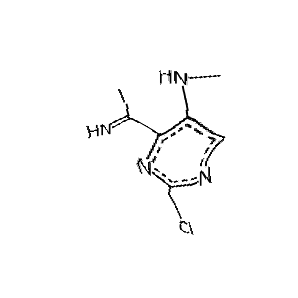 CNc1cnc(Cl)nc1C(=N)I